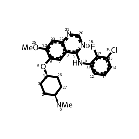 CN[C@H]1CC[C@@H](Oc2cc3c(Nc4cccc(Cl)c4F)ncnc3cc2OC)CC1